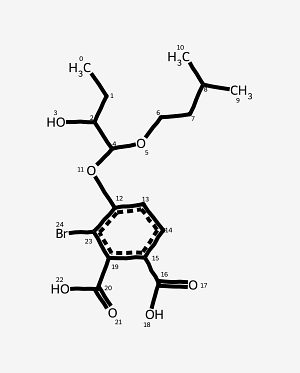 CCC(O)C(OCCC(C)C)Oc1ccc(C(=O)O)c(C(=O)O)c1Br